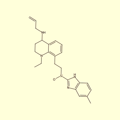 C=CCNC1CCN(CC)c2c(CC[S+]([O-])c3nc4cc(C)ccc4[nH]3)cccc21